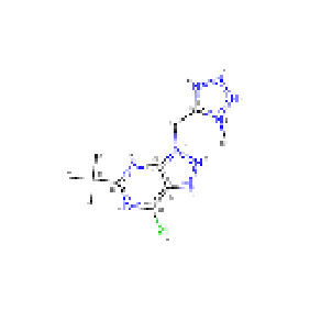 Cn1nnnc1Cn1nnc2c(Cl)nc(C(C)(C)C)nc21